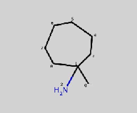 [CH2]C1(N)CCCCCC1